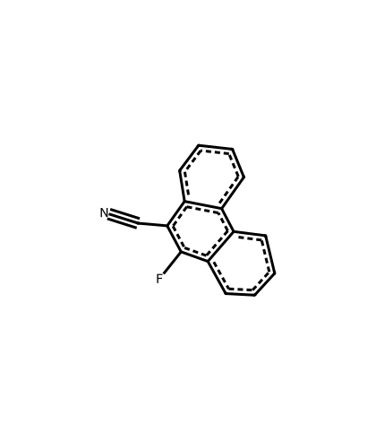 N#Cc1c(F)c2ccccc2c2ccccc12